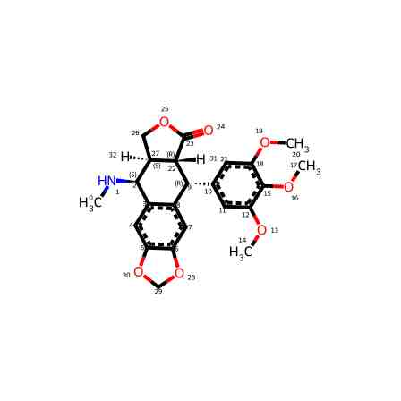 CN[C@@H]1c2cc3c(cc2[C@@H](c2cc(OC)c(OC)c(OC)c2)[C@H]2C(=O)OC[C@@H]21)OCO3